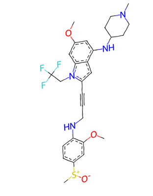 COc1cc(NC2CCN(C)CC2)c2cc(C#CCNc3ccc([S+](C)[O-])cc3OC)n(CC(F)(F)F)c2c1